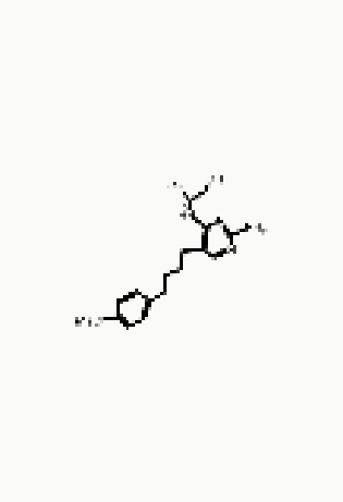 CCC[C@@H](CO)Nc1nc(N)ncc1CCCCc1ccc(OC)cc1